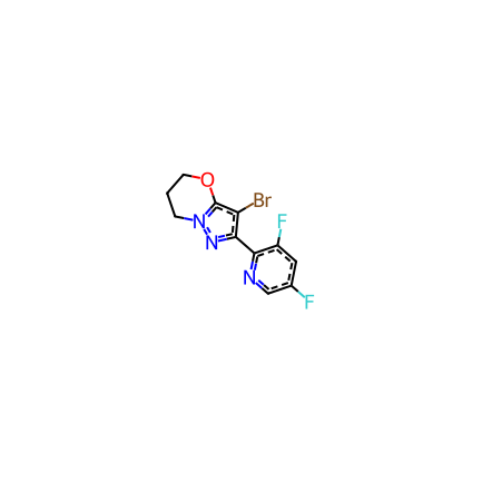 Fc1cnc(-c2nn3c(c2Br)OCCC3)c(F)c1